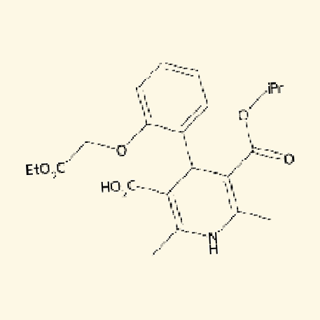 CCOC(=O)COc1ccccc1C1C(C(=O)O)=C(C)NC(C)=C1C(=O)OC(C)C